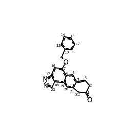 O=C1CC=c2cc3c(OCc4ccccc4)cc4c(c3cc2C1)C=NN=4